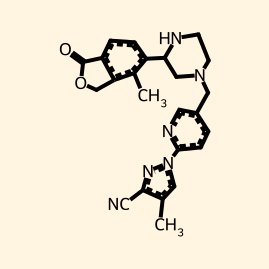 Cc1cn(-c2ccc(CN3CCNC(c4ccc5c(c4C)COC5=O)C3)cn2)nc1C#N